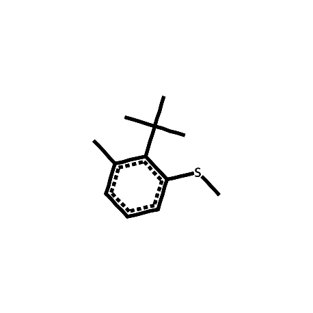 CSc1cccc(C)c1C(C)(C)C